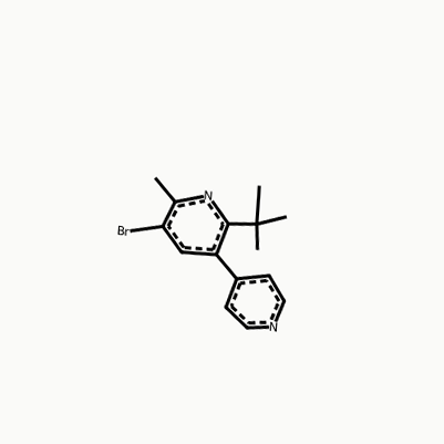 Cc1nc(C(C)(C)C)c(-c2ccncc2)cc1Br